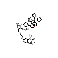 CCCc1nc(CSCCOc2ccc([N+](=O)[O-])c(N(C)C(=O)OC(C)(C)C)c2)c(C(=O)OCC)n1Cc1ccc(-c2ccccc2-c2nnnn2C(c2ccccc2)(c2ccccc2)c2ccccc2)cc1